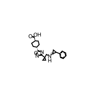 O=C(O)[C@H]1CC[C@H](c2nc(C3(CN[C@H]4CC4c4ccccc4)CC3)no2)CC1